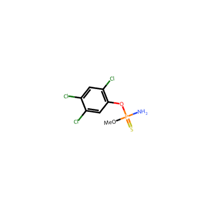 COP(N)(=S)Oc1cc(Cl)c(Cl)cc1Cl